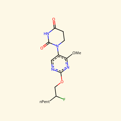 CCCCCC(F)COc1ncc(N2CCC(=O)NC2=O)c(OC)n1